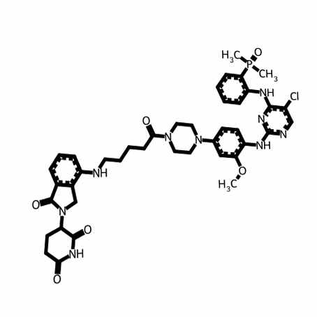 COc1cc(N2CCN(C(=O)CCCCNc3cccc4c3CN(C3CCC(=O)NC3=O)C4=O)CC2)ccc1Nc1ncc(Cl)c(Nc2ccccc2P(C)(C)=O)n1